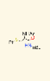 CCCCNC(=O)C(CSCC)NC(C)=O